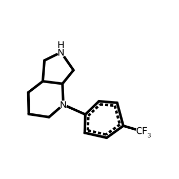 FC(F)(F)c1ccc(N2CCCC3CNCC32)cc1